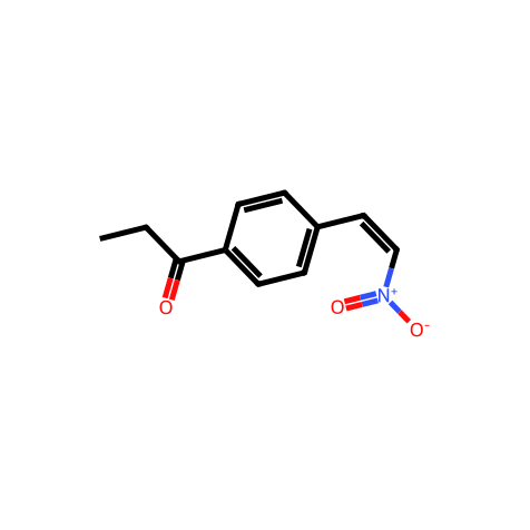 CCC(=O)c1ccc(/C=C\[N+](=O)[O-])cc1